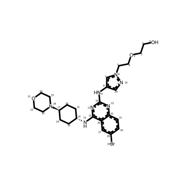 OCCOCCn1cc(Nc2nc(N[C@H]3CC[C@H](N4CCOCC4)CC3)c3cc(Br)ccc3n2)cn1